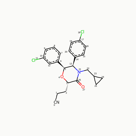 N#CCC[C@@H]1O[C@@H](c2cccc(Cl)c2)[C@@H](c2ccc(Cl)cc2)N(CC2CC2)C1=O